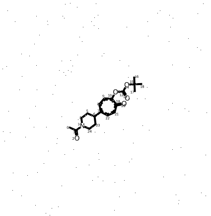 CC(=O)N1CCC(c2ccc(OC(=O)OC(C)(C)C)c(=O)cc2)CC1